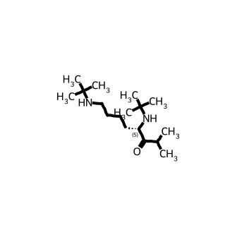 CC(C)C(=O)[C@H](CCCCNC(C)(C)C)NC(C)(C)C